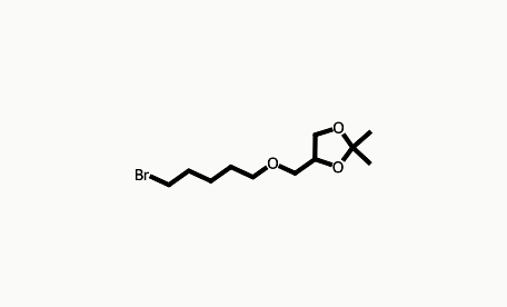 CC1(C)OCC(COCCCCCBr)O1